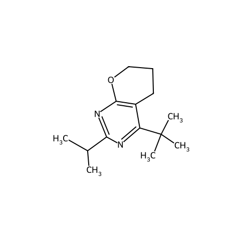 CC(C)c1nc2c(c(C(C)(C)C)n1)CCCO2